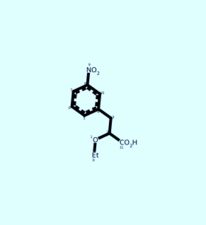 CCOC(Cc1cccc([N+](=O)[O-])c1)C(=O)O